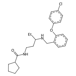 CCC(CCNC(=O)C1CCCC1)NCc1ccccc1Oc1ccc(Cl)cc1